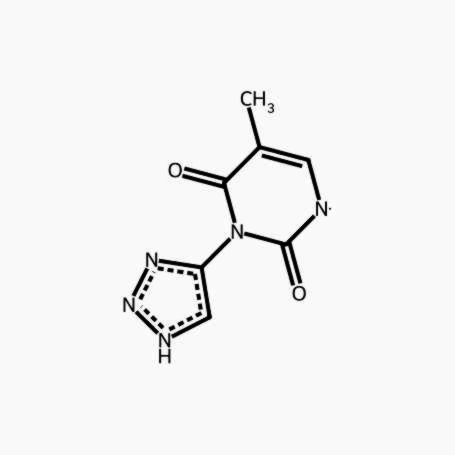 CC1=C[N]C(=O)N(c2c[nH]nn2)C1=O